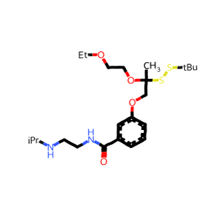 CCOCCOC(C)(COc1cccc(C(=O)NCCNC(C)C)c1)SSC(C)(C)C